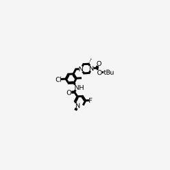 C=N/C=C(\C=C(/C)F)C(=O)Nc1cc(Cl)cc(CN2CCN(C(=O)OC(C)(C)C)[C@@H](C)C2)c1C